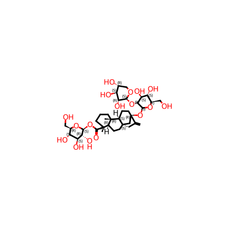 C=C1C[C@]23CC[C@@H]4[C@](C)(CCC[C@@]4(C)C(=O)O[C@@H]4O[C@H](CO)[C@@H](O)[C@H](O)[C@H]4O)[C@H]2CC[C@@]1(O[C@@H]1O[C@H](CO)[C@@H](O)[C@H](O)[C@H]1O[C@@H]1OC[C@@H](O)[C@H](O)[C@H]1O)C3